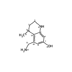 CN1CCNc2cc(O)cc(CN)c21